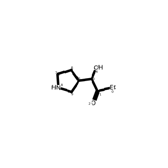 CCC(=O)C(O)C1CCNC1